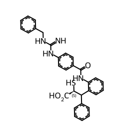 N=C(NCc1ccccc1)Nc1ccc(C(=O)Nc2ccccc2C(c2ccccc2)[C@H](S)C(=O)O)cc1